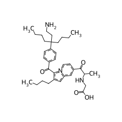 CCCCc1cc2cc(C(=O)C(C)NCC(=O)O)ccn2c1C(=O)c1ccc(C(CCN)(CCCC)CCCC)cc1